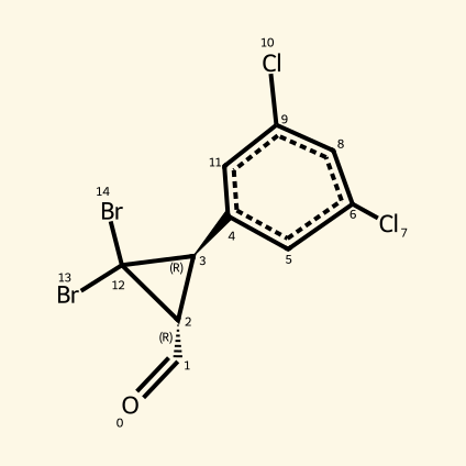 O=C[C@H]1[C@H](c2cc(Cl)cc(Cl)c2)C1(Br)Br